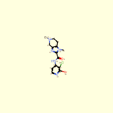 CCN1CCc2c(nc(C(=O)Nc3ccnc(Br)c3Cl)n2C)C1